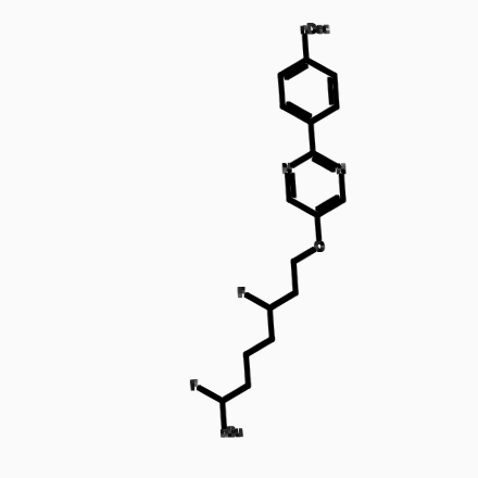 CCCCCCCCCCc1ccc(-c2ncc(OCCC(F)CCCC(F)CCCC)cn2)cc1